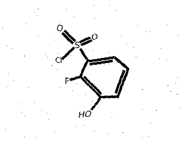 O=S(=O)(Cl)c1cccc(O)c1F